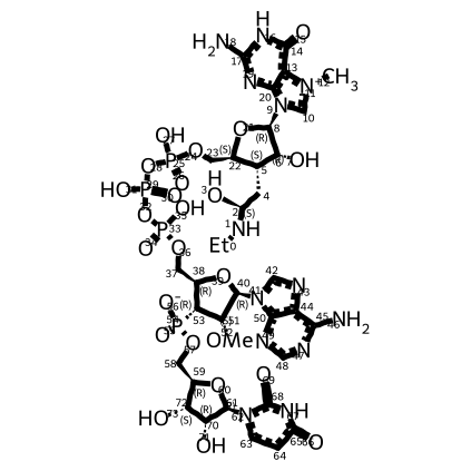 CCN[C@@H](O)C[C@H]1[C@@H](O)[C@H](n2c[n+](C)c3c(=O)[nH]c(N)nc32)O[C@@H]1COP(=O)(O)OP(=O)(O)OP(=O)(O)OC[C@H]1O[C@@H](n2cnc3c(N)ncnc32)[C@H](OC)[C@@H]1P(=O)([O-])OC[C@H]1O[C@@H](n2ccc(=O)[nH]c2=O)[C@H](O)[C@@H]1O